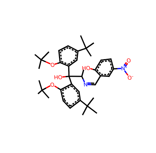 CC(N=Cc1cc([N+](=O)[O-])ccc1O)C(O)(c1cc(C(C)(C)C)ccc1OC(C)(C)C)c1cc(C(C)(C)C)ccc1OC(C)(C)C